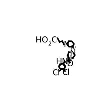 O=C(O)CCCCN1CCC[C@@H](CN2CCN(C(=O)Nc3ccc(Cl)c(Cl)c3)CC2)C1